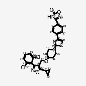 O=c1[nH]c(-c2ccc(-c3coc(N4CCC(OCc5c(-c6c(Cl)cccc6Cl)noc5C5CC5)CC4)n3)cc2)no1